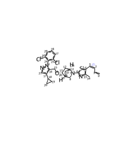 C=C/C=C\c1sc(N2C[C@@H]3C[C@H]2C[C@H]3OCc2c(C3CC3)cnn2-c2c(Cl)cccc2Cl)nc1C